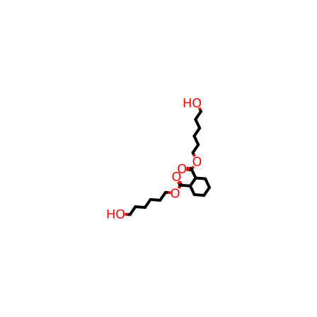 O=C(OCCCCCCO)C1CCCCC1C(=O)OCCCCCCO